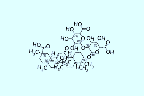 CC1(C)[C@@H](O[C@@H]2OC(C(=O)O)[C@@H](O)C(O)[C@@H]2O[C@@H]2OC(C(=O)O)[C@@H](O)C(O)C2O)CC[C@]2(C)[C@H]3C(=O)C=C4[C@@H]5C[C@@](C)(C(=O)O)CC[C@]5(C)CC[C@@]4(C)[C@]3(C)CC[C@@H]12